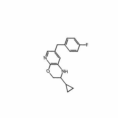 Fc1ccc(Cc2cnc3c(c2)NC(C2CC2)CO3)cc1